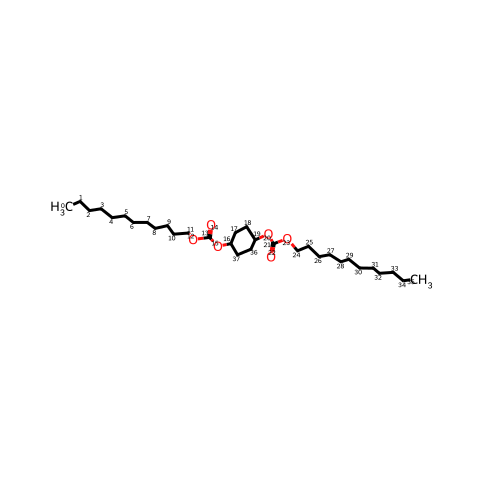 CCCCCCCCCCCCOC(=O)OC1CCC(OC(=O)OCCCCCCCCCCCC)CC1